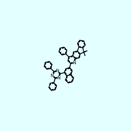 CC1(C)c2ccccc2-c2cc3c(-c4ccccc4)cc(-c4cc(-c5nc(-c6ccccc6)nc(-c6ccccc6)n5)c5ccccc5c4)nc3cc21